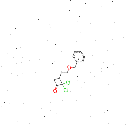 O=C1CC(CCOCc2ccccc2)C1(Cl)Cl